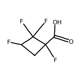 O=C(O)C1(F)CC(F)C1(F)F